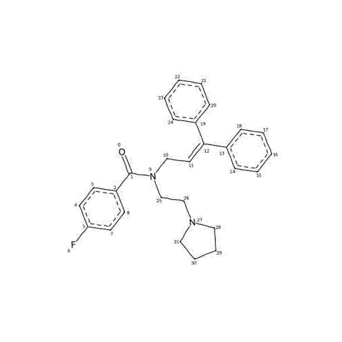 O=C(c1ccc(F)cc1)N(CC=C(c1ccccc1)c1ccccc1)CCN1CCCC1